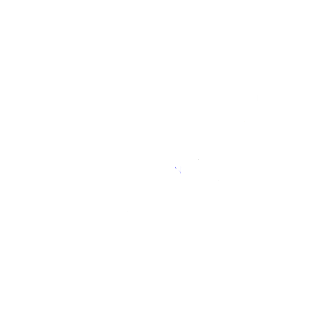 CS(=O)(=O)c1ccc2sc(SCCC=C(F)F)nc2c1